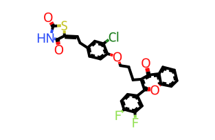 O=C1NC(=O)C(=CCc2ccc(OCCCc3c(-c4ccc(F)c(F)c4)oc4ccccc4c3=O)c(Cl)c2)S1